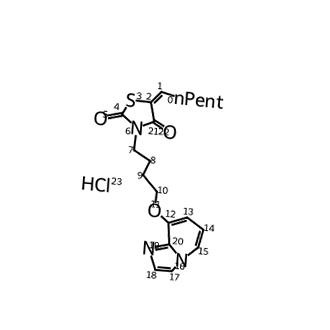 CCCCCC=C1SC(=O)N(CCCCOc2cccn3ccnc23)C1=O.Cl